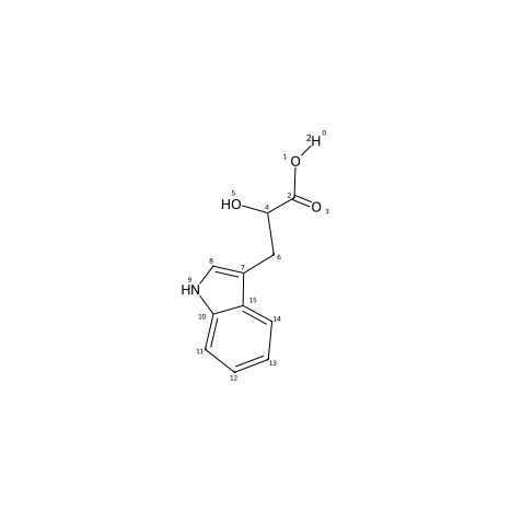 [2H]OC(=O)C(O)Cc1c[nH]c2ccccc12